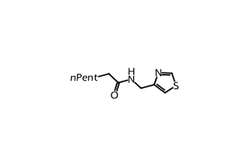 CCCCCCC(=O)NCc1cscn1